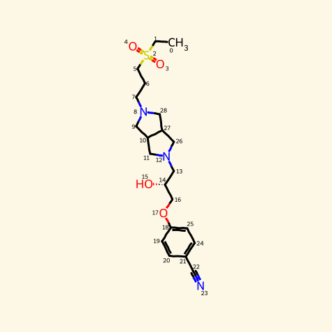 CCS(=O)(=O)CCCN1CC2CN(C[C@@H](O)COc3ccc(C#N)cc3)CC2C1